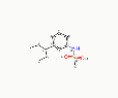 CCC(CC)c1cccc(NS(C)(=O)=O)c1